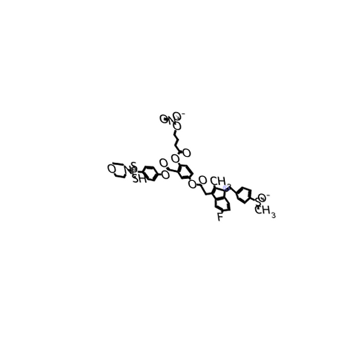 CC1=C(CC(=O)Oc2ccc(OC(=O)CCCO[N+](=O)[O-])c(C(=O)Oc3ccc(P(=S)(S)N4CCOCC4)cc3)c2)c2cc(F)ccc2/C1=C\c1ccc([S+](C)[O-])cc1